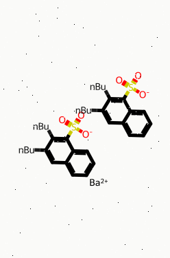 CCCCc1cc2ccccc2c(S(=O)(=O)[O-])c1CCCC.CCCCc1cc2ccccc2c(S(=O)(=O)[O-])c1CCCC.[Ba+2]